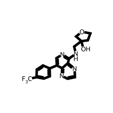 OC1(CNc2ncc(-c3ccc(C(F)(F)F)cc3)c3nccnc23)CCOC1